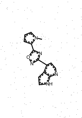 Cn1cccc1-c1nc(-c2ccnc3[nH]ccc23)no1